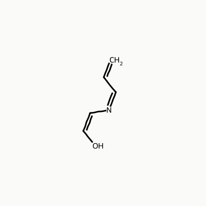 C=C/C=N\C=C/O